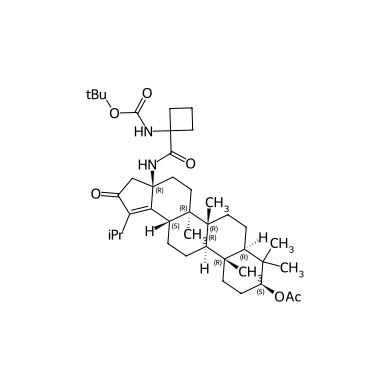 CC(=O)O[C@H]1CC[C@]2(C)[C@H]3CC[C@@H]4C5=C(C(C)C)C(=O)C[C@]5(NC(=O)C5(NC(=O)OC(C)(C)C)CCC5)CC[C@@]4(C)[C@]3(C)CC[C@H]2C1(C)C